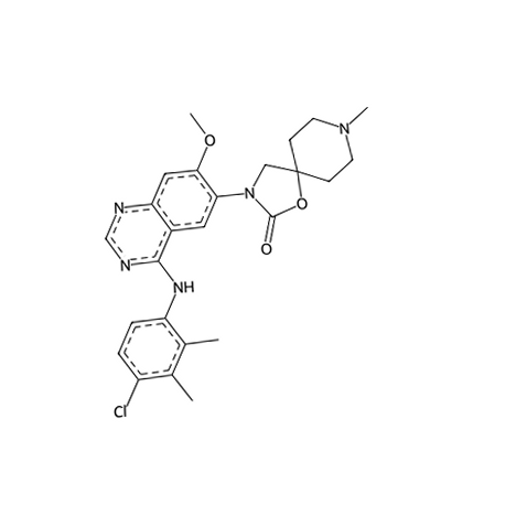 COc1cc2ncnc(Nc3ccc(Cl)c(C)c3C)c2cc1N1CC2(CCN(C)CC2)OC1=O